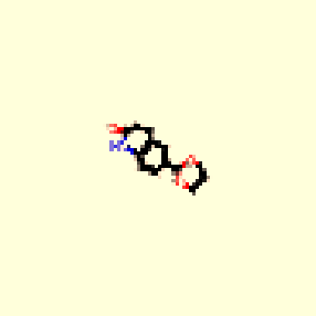 O=C1CCc2cc(C3OCCCO3)ccc2N1